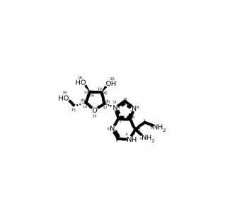 NCC1(N)NC=Nc2c1ncn2[C@@H]1O[C@H](CO)[C@@H](O)[C@H]1O